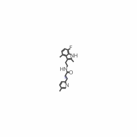 Cc1ccc(/C=C/C(=O)NCCc2c(C)[nH]c3c(F)ccc(C)c23)nc1